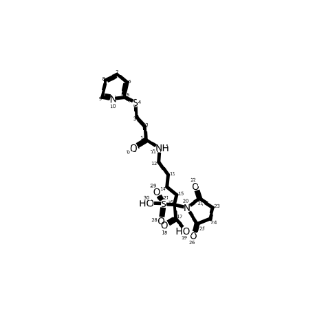 O=C(CCSc1ccccn1)NCCCCC(C(=O)O)(N1C(=O)CCC1=O)S(=O)(=O)O